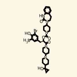 Bc1cc(C[C@@H](OC(=O)N2CCC(N3CCc4ccccc4NC3=O)CC2)C(=O)N2CCC(N3CCC(C4(O)CC4)CC3)CC2)cc(Br)c1O